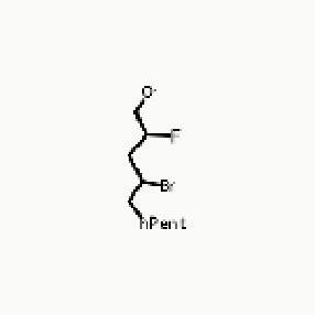 CCCCCCC(Br)CC(F)C[O]